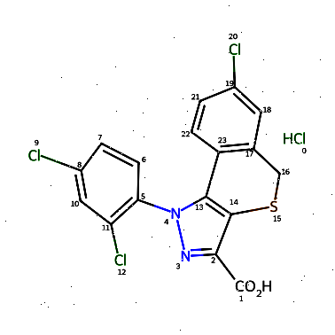 Cl.O=C(O)c1nn(-c2ccc(Cl)cc2Cl)c2c1SCc1cc(Cl)ccc1-2